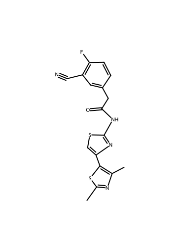 Cc1nc(C)c(-c2csc(NC(=O)Cc3ccc(F)c(C#N)c3)n2)s1